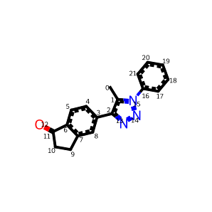 Cc1c(-c2ccc3c(c2)CCC3=O)nnn1-c1ccccc1